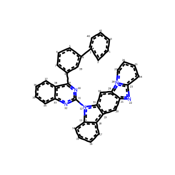 c1ccc(-c2cccc(-c3nc(-n4c5ccccc5c5cc6nc7ccccn7c6cc54)nc4ccccc34)c2)cc1